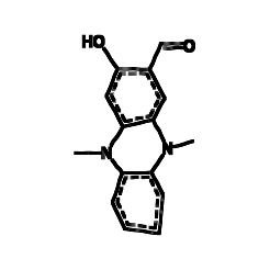 CN1c2ccccc2N(C)c2cc(C=O)c(O)cc21